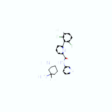 Cc1ccc(F)c(-c2cccc(C(=O)Nc3cnccc3[C@H]3C[C@@H](N)CC(C)(N)C3)n2)c1F